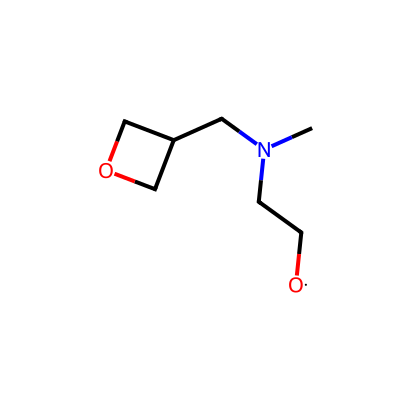 CN(CC[O])CC1COC1